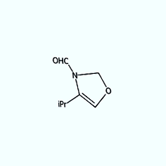 CC(C)C1=COCN1C=O